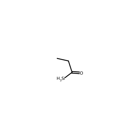 CCC(=O)[SiH3]